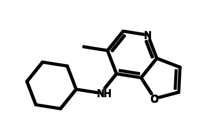 Cc1cnc2ccoc2c1NC1CCCCC1